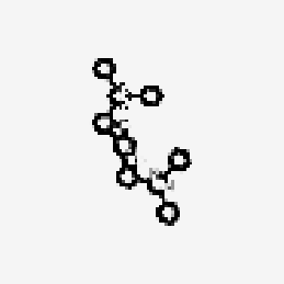 c1ccc(-c2cc(-c3cccc4c3oc3cc5oc6c(-c7cc(-c8ccccc8)nc(-c8ccccc8)n7)cccc6c5cc34)nc(-c3ccccc3)n2)cc1